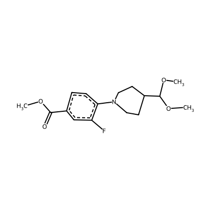 COC(=O)c1ccc(N2CCC(C(OC)OC)CC2)c(F)c1